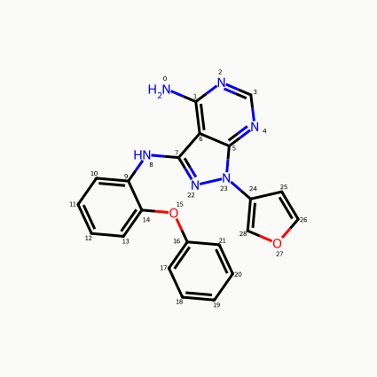 Nc1ncnc2c1c(Nc1ccccc1Oc1ccccc1)nn2-c1ccoc1